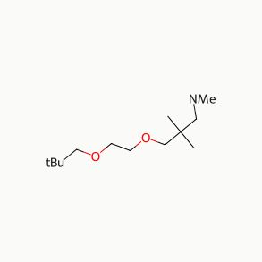 CNCC(C)(C)COCCOCC(C)(C)C